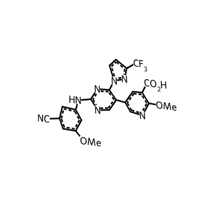 COc1cc(C#N)cc(Nc2ncc(-c3cnc(OC)c(C(=O)O)c3)c(-n3ccc(C(F)(F)F)n3)n2)c1